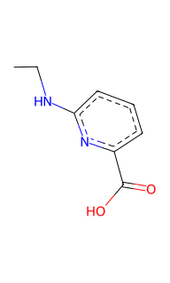 CCNc1cccc(C(=O)O)n1